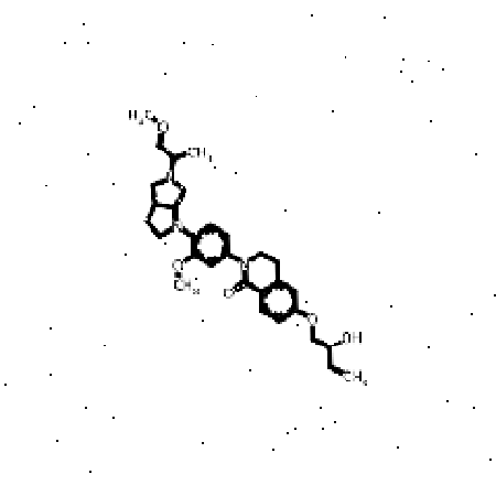 CC[C@H](O)COc1ccc2c(c1)CCN(c1ccc(N3CCC4CN(C(C)COC)CC43)c(OC)c1)C2=O